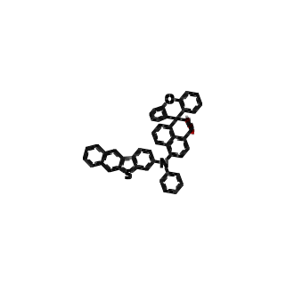 c1ccc(N(c2ccc3c(c2)sc2cc4ccccc4cc23)c2ccc3c4c(cccc24)C2(c4ccccc4Oc4ccccc42)c2ccccc2-3)cc1